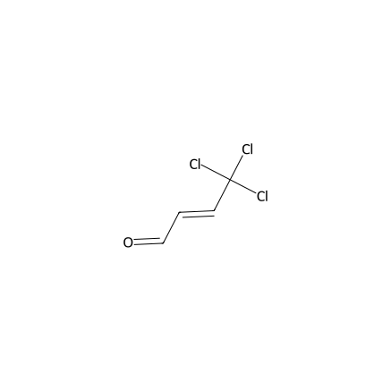 O=CC=CC(Cl)(Cl)Cl